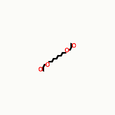 C(CCCCOCC1CO1)CCCOCC1CO1